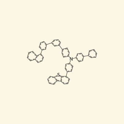 c1ccc(-c2ccc(N(c3ccc(-c4cccc(-c5cccc(-c6cccc7ccccc67)c5)c4)cc3)c3ccc(-c4cccc5c4sc4ccccc45)cc3)cc2)cc1